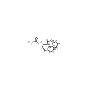 CC(=O)SCc1ccc2ccc3cccc4ccc1c2c34